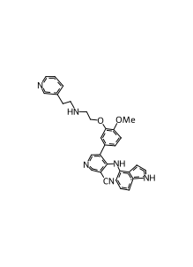 COc1ccc(-c2cncc(C#N)c2Nc2cccc3[nH]ccc23)cc1OCCNCCc1cccnc1